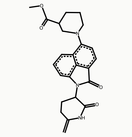 C=C1CCC(N2C(=O)c3ccc(N4CCCC(C(=O)OC)C4)c4cccc2c34)C(=O)N1